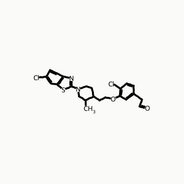 CC1CN(c2nc3ccc(Cl)cc3s2)CCC1CCOc1cc(CC=O)ccc1Cl